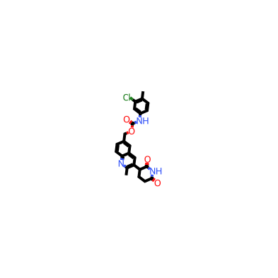 Cc1ccc(NC(=O)OCc2ccc3nc(C)c(C4CCC(=O)NC4=O)cc3c2)cc1Cl